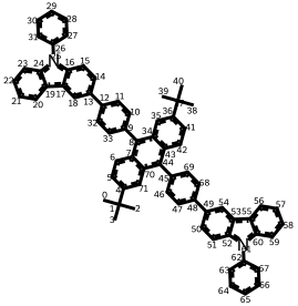 CC(C)(C)c1ccc2c(-c3ccc(-c4ccc5c(c4)c4ccccc4n5-c4ccccc4)cc3)c3cc(C(C)(C)C)ccc3c(-c3ccc(-c4ccc5c(c4)c4ccccc4n5-c4ccccc4)cc3)c2c1